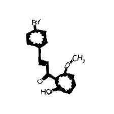 COc1cccc(O)c1C(=O)C=Cc1ccc(Br)cc1